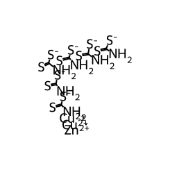 NC(=S)[S-].NC(=S)[S-].NC(=S)[S-].NC(=S)[S-].NC(=S)[S-].NC(=S)[S-].[Cu+2].[Cu+2].[Zn+2]